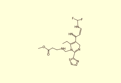 CCC1=C(C(=N)/C=C\NC(F)F)CN=C(c2nccs2)N1CNCCC(=O)OC